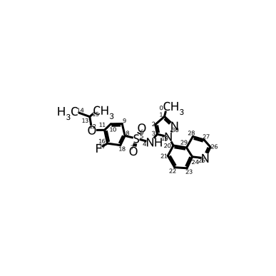 Cc1cc(NS(=O)(=O)c2ccc(OC(C)C)c(F)c2)n(-c2cccc3ncccc23)n1